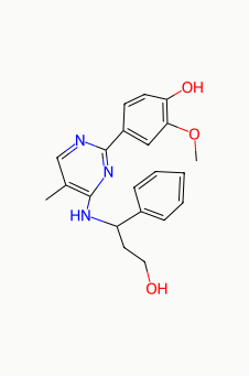 COc1cc(-c2ncc(C)c(NC(CCO)c3ccccc3)n2)ccc1O